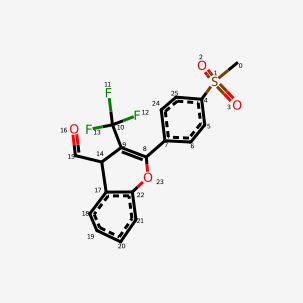 CS(=O)(=O)c1ccc(C2=C(C(F)(F)F)C(C=O)c3ccccc3O2)cc1